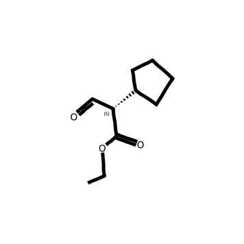 CCOC(=O)[C@H](C=O)C1CCCC1